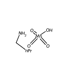 CCCCN.[O]=[Mn](=[O])(=[O])[OH]